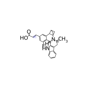 C[C@H]1Cc2c([nH]c3ccccc23)[C@@H]2c3c(F)cc(/C=C/C(=O)O)cc3C3C4CC3(C4)N21